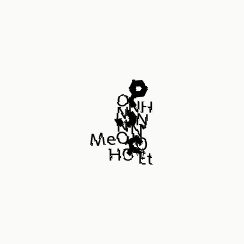 CC[C@H]1O[C@@H](n2cnc3c(NC(=O)c4ccccc4)ncnc32)[C@@H](OC)C1O